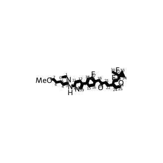 C/C=N\C(=C/CCCOC)Nc1ccc(-c2ccc(CC(=O)/C=C/C3=C=COC(C4(C(C)(F)F)CC4)=C3)c(F)c2)cn1